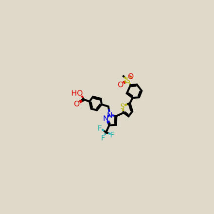 CS(=O)(=O)c1cccc(-c2ccc(-c3cc(C(F)(F)F)nn3Cc3ccc(C(=O)O)cc3)s2)c1